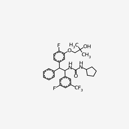 CC(C)(O)COc1cc(C(c2ccccc2)C(NC(=O)NC2CCCC2)c2cc(F)cc(C(F)(F)F)c2)ccc1F